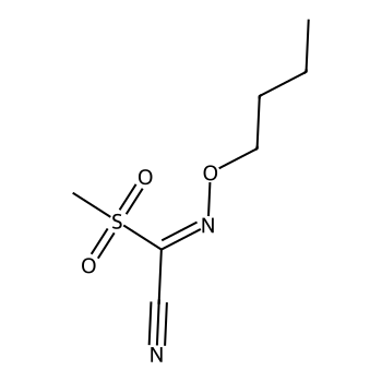 CCCCON=C(C#N)S(C)(=O)=O